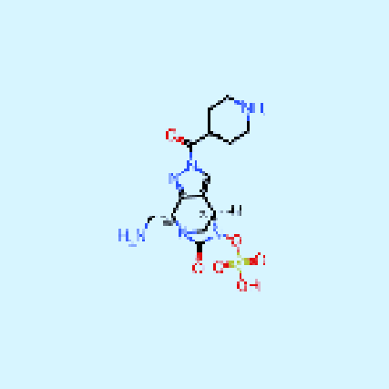 NC[C@@H]1c2nn(C(=O)C3CCNCC3)cc2[C@@H]2CN1C(=O)N2OS(=O)(=O)O